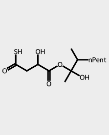 CCCCCC(C)C(C)(O)OC(=O)C(O)CC(=O)S